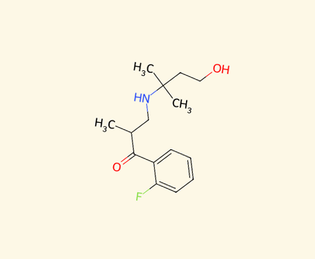 CC(CNC(C)(C)CCO)C(=O)c1ccccc1F